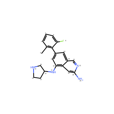 Cc1cccc(F)c1-c1cc(NC2CCNC2)c2cc(N)ncc2c1